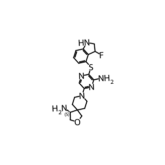 Nc1nc(N2CCC3(CC2)COC[C@H]3N)cnc1Sc1cccc2c1C(F)CN2